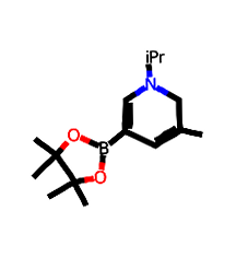 CC1=CC(B2OC(C)(C)C(C)(C)O2)=CN(C(C)C)C1